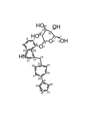 OC[C@H]1O[C@@H](Oc2cccc3[nH]cc(Cc4ccc(-c5ccsc5)cc4)c23)[C@H](O)[C@@H](O)[C@@H]1O